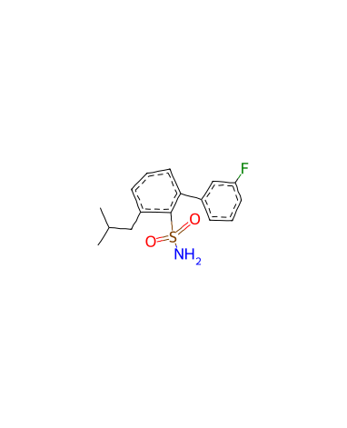 CC(C)Cc1cccc(-c2cccc(F)c2)c1S(N)(=O)=O